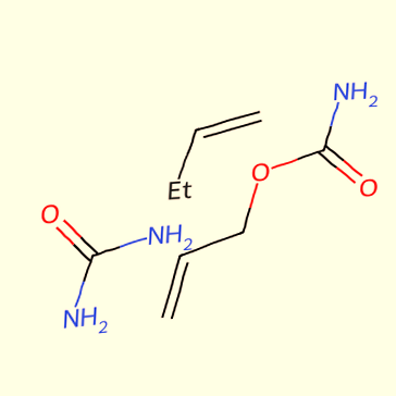 C=CCC.C=CCOC(N)=O.NC(N)=O